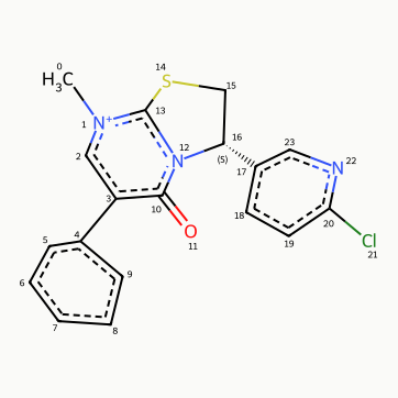 C[n+]1cc(-c2ccccc2)c(=O)n2c1SC[C@@H]2c1ccc(Cl)nc1